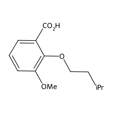 COc1cccc(C(=O)O)c1OCCC(C)C